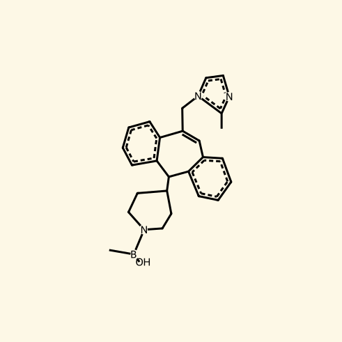 CB(O)N1CCC(C2c3ccccc3C=C(Cn3ccnc3C)c3ccccc32)CC1